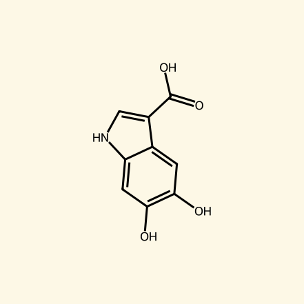 O=C(O)c1c[nH]c2cc(O)c(O)cc12